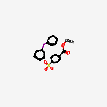 CCCCCCCCOC(=O)c1ccc(S(=O)(=O)[O-])cc1.c1ccc([I+]c2ccccc2)cc1